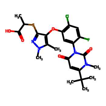 Cc1c(Oc2cc(-n3c(=O)cc(C(C)(C)C)n(C)c3=O)c(F)cc2Cl)c(SC(C)C(=O)O)nn1C